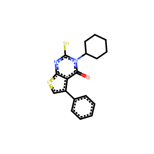 O=c1c2c(-c3ccccc3)csc2nc(S)n1C1CCCCC1